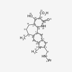 CC(C)NCc1cc2cc3c(cc2n1C)C(C)CCc1c-3[nH]c(=O)c(C(=O)O)c1O